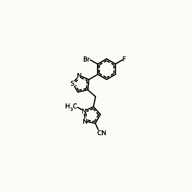 Cn1nc(C#N)cc1Cc1csnc1-c1ccc(F)cc1Br